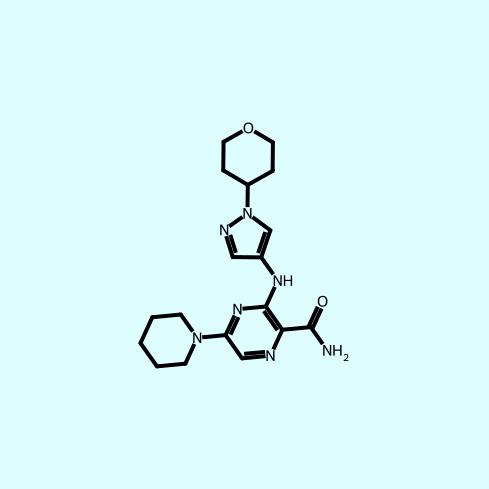 NC(=O)c1ncc(N2CCCCC2)nc1Nc1cnn(C2CCOCC2)c1